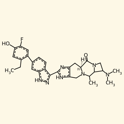 CCc1cc(O)c(F)cc1-c1ccc2c(-c3nc4c([nH]3)CN3C(C)C5C(N(C)C)CN5C(=O)[C@@H]3C4)n[nH]c2c1